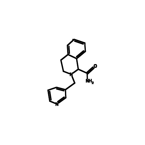 NC(=O)C1c2cc[c]cc2CCN1Cc1cccnc1